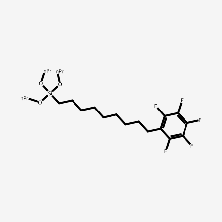 CCCO[Si](CCCCCCCCCc1c(F)c(F)c(F)c(F)c1F)(OCCC)OCCC